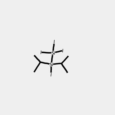 CC(C)[Si](I)(C(C)C)[Si](I)(I)I